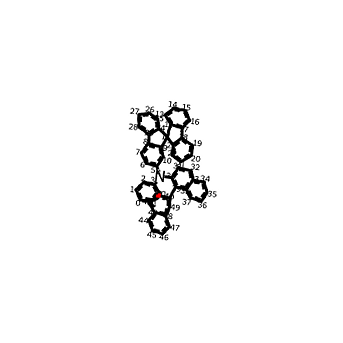 c1ccc(N(c2ccc3c(c2)C2(c4ccccc4-c4ccccc42)c2ccccc2-3)c2ccc3ccccc3c2-c2ccc3ccccc3c2)cc1